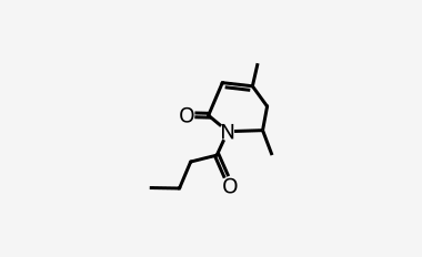 CCCC(=O)N1C(=O)C=C(C)CC1C